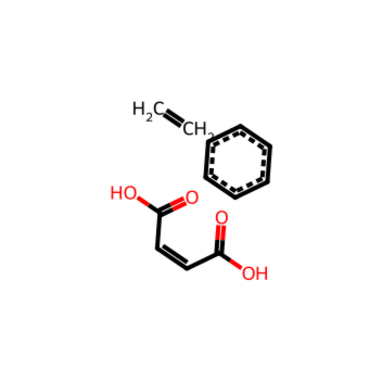 C=C.O=C(O)/C=C\C(=O)O.c1ccccc1